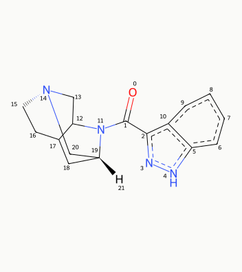 O=C(c1n[nH]c2ccccc12)N1C2C[N@@]3CCC2C[C@@H]1C3